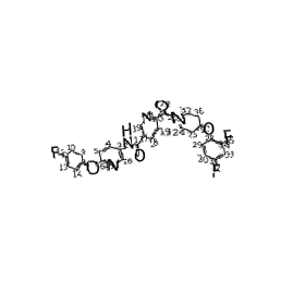 O=C(Nc1ccc(Oc2ccc(F)cc2)nc1)c1ccc(C(=O)N2CCC(Oc3ccc(F)cc3F)CC2)nc1